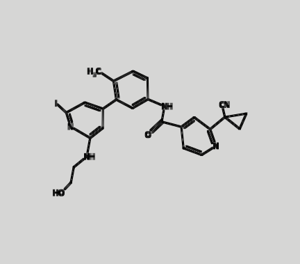 Cc1ccc(NC(=O)c2ccnc(C3(C#N)CC3)c2)cc1-c1cc(I)nc(NCCO)c1